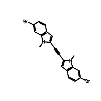 Cn1c(C#Cc2cc3ccc(Br)cc3n2C)cc2ccc(Br)cc21